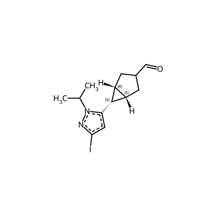 CC(C)n1nc(I)cc1[C@@H]1[C@@H]2CC(C=O)C[C@@H]21